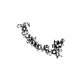 CC(C)Oc1cc(OC2CC(N(CC3CCN(c4cnc(C(=O)NC5CCC(Oc6ccc(C#N)c(Cl)c6)CC5)cn4)CC3)C(C)C)C2)cc2c1C(=O)N([C@@H]1CCC(=O)NC1=O)C2=O